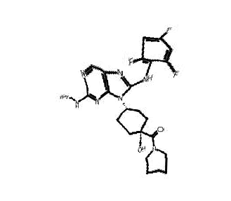 CC(C)Nc1ncc2nc(Nc3c(F)cc(F)cc3F)n([C@H]3CC[C@@](O)(C(=O)N4CCCC4)CC3)c2n1